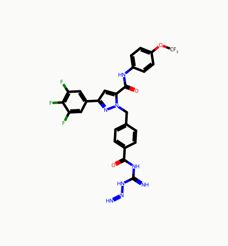 N=NNC(=N)NC(=O)c1ccc(Cn2nc(-c3cc(F)c(F)c(F)c3)cc2C(=O)Nc2ccc(OC(F)(F)F)cc2)cc1